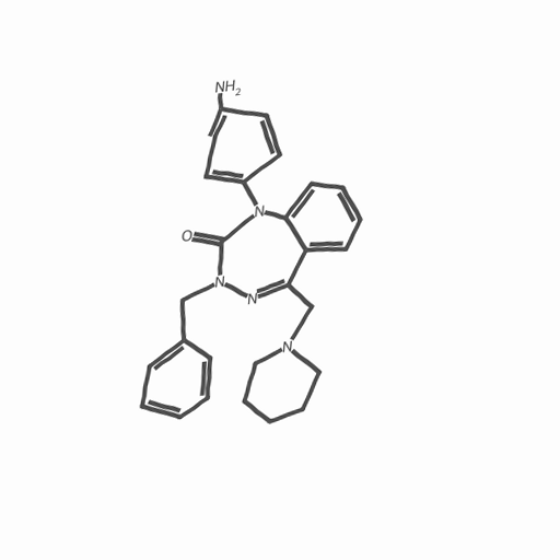 Nc1ccc(N2C(=O)N(Cc3ccccc3)N=C(CN3CCCCC3)c3ccccc32)cc1